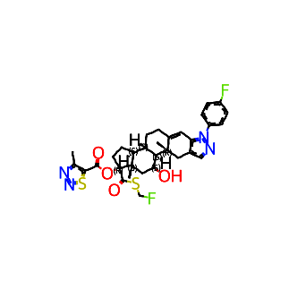 Cc1nnsc1C(=O)O[C@]1(C(=O)SCF)CC[C@H]2[C@@H]3CCC4=Cc5c(cnn5-c5ccc(F)cc5)C[C@]4(C)[C@H]3[C@@H](O)C[C@@]21C